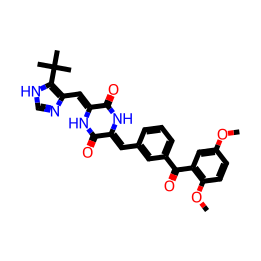 COc1ccc(OC)c(C(=O)c2cccc(/C=c3\[nH]c(=O)/c(=C/c4nc[nH]c4C(C)(C)C)[nH]c3=O)c2)c1